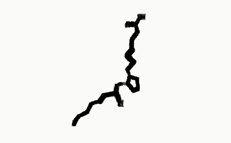 CCCCCCC(Cl)C[C@H]1CCC[C@@H]1CCC=CC=CC(=O)O